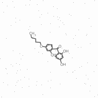 CCCCCOc1ccc(C(=O)c2ccc(O)cc2O)c(O)c1